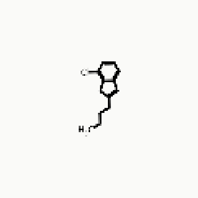 CCCCC1=Cc2cccc(Cl)c2C1